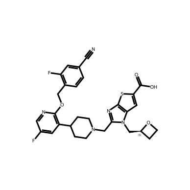 N#Cc1ccc(COc2ncc(F)cc2C2CCN(Cc3nc4sc(C(=O)O)cc4n3C[C@@H]3CCO3)CC2)c(F)c1